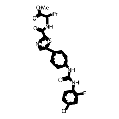 COC(=O)C(NC(=O)c1ncc(-c2ccc(NC(=O)Nc3ccc(Cl)cc3F)cc2)s1)C(C)C